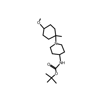 COC1CCC(C)(N2CCC(NC(=O)OC(C)(C)C)CC2)CC1